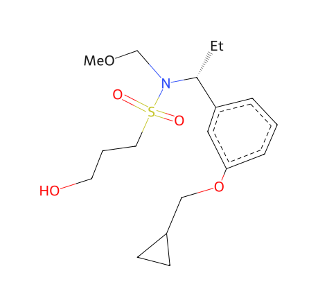 CC[C@H](c1cccc(OCC2CC2)c1)N(COC)S(=O)(=O)CCCO